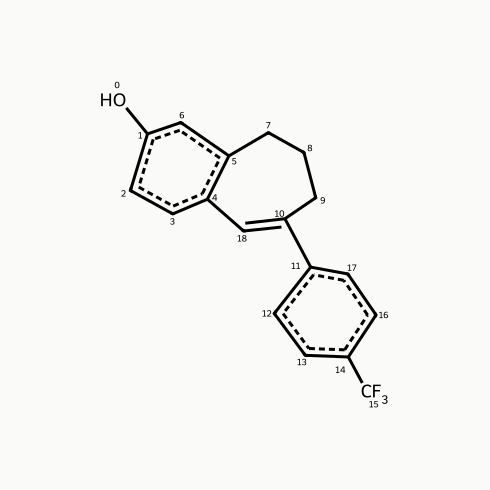 Oc1ccc2c(c1)CCCC(c1ccc(C(F)(F)F)cc1)=C2